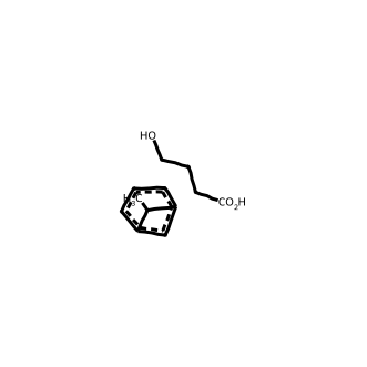 CC1c2cccc1c2.O=C(O)CCCO